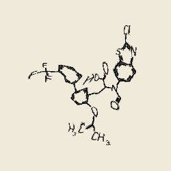 CC(C)Oc1ccc(-c2cccc(C(F)(F)F)c2)cc1CC(C(=O)O)N(C=O)c1ccc2nc(Cl)sc2c1